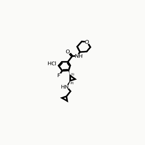 Cl.O=C(NC1CCOCC1)c1ccc(F)c([C@@H]2C[C@H]2NCC2CC2)c1